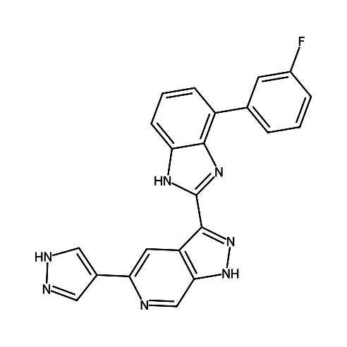 Fc1cccc(-c2cccc3[nH]c(-c4n[nH]c5cnc(-c6cn[nH]c6)cc45)nc23)c1